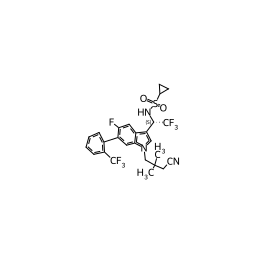 CC(C)(CC#N)Cn1cc([C@H](NS(=O)(=O)C2CC2)C(F)(F)F)c2cc(F)c(-c3ccccc3C(F)(F)F)cc21